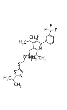 CC(C)c1ncc(SCN=C(N)Cc2c(C(C)C)nc(-c3cccc(C(F)(F)F)c3)c(F)c2C(C)C)s1